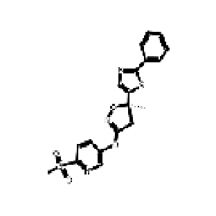 C[C@]1(c2cnc(-c3ccccc3)s2)CC(Oc2ccc(S(C)(=O)=O)nc2)=NO1